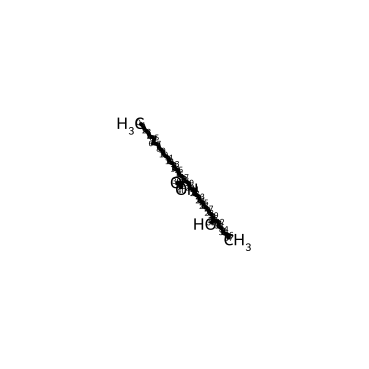 CCCCCCCCCCCCCCCCCCC(CCCCCCCCCCCC(O)CCCCCC)C(=O)O